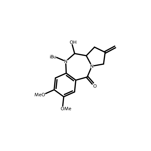 C=C1CC2C(O)N(C(C)CC)c3cc(OC)c(OC)cc3C(=O)N2C1